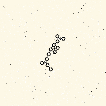 c1ccc(-c2ccc(N(c3ccccc3)c3ccc(-c4ccc(-c5ccc6c(c5)C5(c7ccccc7-c7ccccc75)c5cc(-c7ccc8c(c7)c7ccccc7n8-c7ccccc7)ccc5-6)cc4)cc3)cc2)cc1